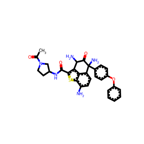 CC(=O)N1CCC(NC(=O)c2sc3c(N)ccc4c3c2C(N)C(=O)C4(N)c2ccc(Oc3ccccc3)cc2)C1